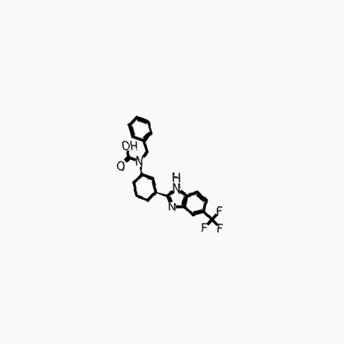 O=C(O)N(Cc1ccccc1)[C@@H]1CCC[C@H](c2nc3cc(C(F)(F)F)ccc3[nH]2)C1